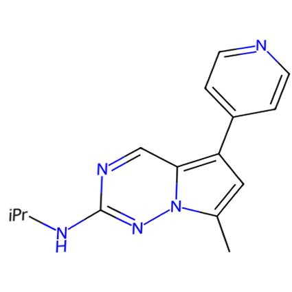 Cc1cc(-c2ccncc2)c2cnc(NC(C)C)nn12